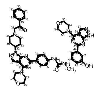 CNC(=O)Nc1ccc(-c2nc(N3CCOCC3)c3cnn(C4CCN(CC(=O)c5ccccc5)CC4)c3n2)cc1.Oc1cccc(-c2nc(N3CCOCC3)c3cn[nH]c3n2)c1